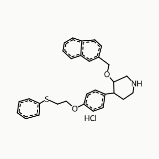 Cl.c1ccc(SCCOc2ccc(C3CCNCC3OCc3ccc4ccccc4c3)cc2)cc1